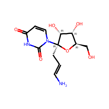 NC=CC[C@@]1(n2ccc(=O)[nH]c2=O)O[C@H](CO)[C@@H](O)[C@H]1O